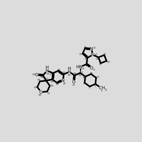 CC1CCC([C@H](NC(=O)c2ccnn2C2CCC2)C(=O)Nc2cc3c(cn2)C2(CCOCC2)C(=O)N3)CC1